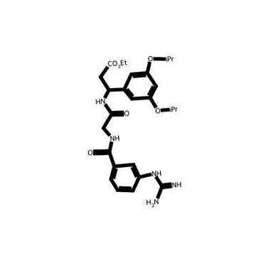 CCOC(=O)CC(NC(=O)CNC(=O)c1cccc(NC(=N)N)c1)c1cc(OC(C)C)cc(OC(C)C)c1